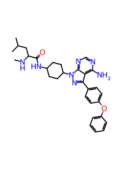 CNC(CC(C)C)C(=O)NC1CCC(n2nc(-c3ccc(Oc4ccccc4)cc3)c3c(N)ncnc32)CC1